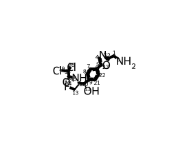 NCc1ncc(-c2ccc([C@H](O)[C@@H](CF)NC(=O)C(Cl)Cl)cc2)o1